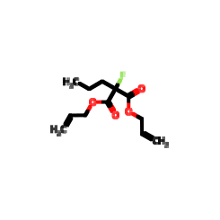 C=CCOC(=O)C(F)(CCC)C(=O)OCC=C